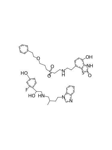 CC(CCn1cnc2ccccc21)CNCC(O)c1ccc(O)cc1F.O=c1[nH]c2c(O)ccc(CCNCCS(=O)(=O)CCCOCCc3ccccc3)c2s1